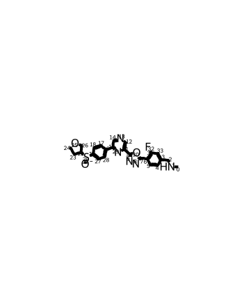 CNCc1ccc(-c2nnc(-c3cncc(-c4ccc([S+]([O-])C5CCOC5)cc4)n3)o2)c(F)c1